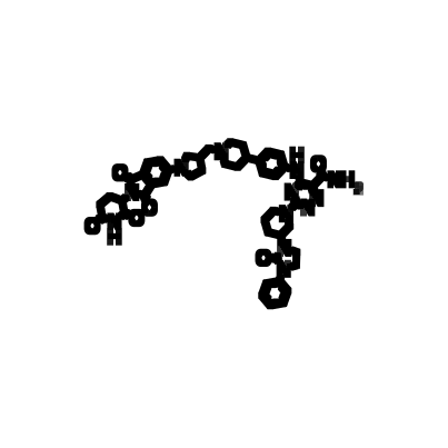 NC(=O)c1nnc(N2CCCC(N3CCN(c4ccccc4)C3=O)C2)nc1Nc1ccc(C2CCN(CC3CCN(c4ccc5c(c4)C(=O)N(C4CCC(=O)NC4=O)C5=O)C3)CC2)cc1